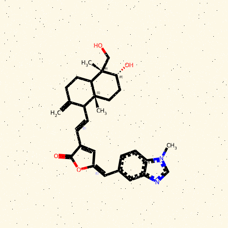 C=C1CCC2[C@](C)(CC[C@@H](O)[C@@]2(C)CO)C1/C=C/C1=CC(=C\c2ccc3c(c2)ncn3C)/OC1=O